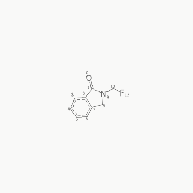 O=C1c2ccccc2CN1[CH]F